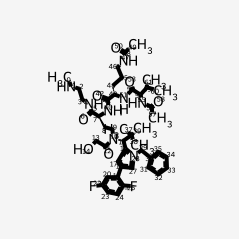 CNCCNC(=O)[C@H](CCN(C(=O)CO)[C@@H](c1cc(-c2cc(F)ccc2F)cn1Cc1ccccc1)C(C)(C)C)NC(=O)[C@H](CCCNC(C)=O)NC(=O)C(NC(C)=O)C(C)C